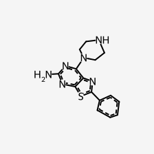 Nc1nc(N2CCNCC2)c2nc(-c3ccccc3)sc2n1